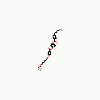 C=CC(=O)OCCCCCCOc1ccc(C(=O)Oc2ccc(OC(=O)c3ccc(CCCC)cc3)cc2)cc1